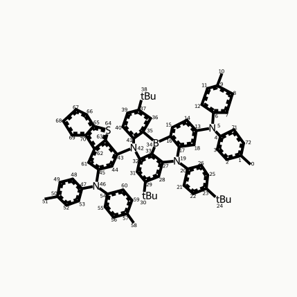 Cc1ccc(N(c2ccc(C)cc2)c2ccc3c(c2)N(c2ccc(C(C)(C)C)cc2)c2cc(C(C)(C)C)cc4c2B3c2cc(C(C)(C)C)ccc2N4c2cc(N(c3ccc(C)cc3)c3ccc(C)cc3)cc3c2sc2ccccc23)cc1